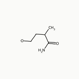 CC(CC[O])C(N)=O